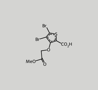 COC(=O)COc1c(C(=O)O)sc(Br)c1Br